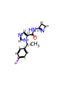 C[C@H](c1ccc(I)cc1)n1cncc1C(=O)NC1=NCC1